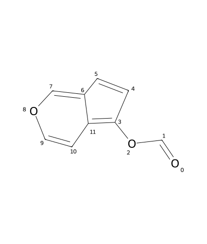 O=COc1ccc2coccc1-2